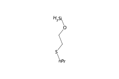 CCCSCCO[SiH3]